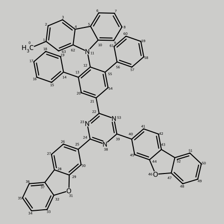 Cc1ccc2c3ccccc3n(-c3c(-c4ccccc4)cc(-c4nc(-c5ccc6c(c5)oc5ccccc56)nc(-c5ccc6c(c5)oc5ccccc56)n4)cc3-c3ccccc3)c2c1